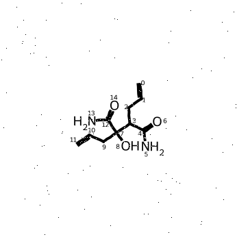 C=CCC(C(N)=O)C(O)(CC=C)C(N)=O